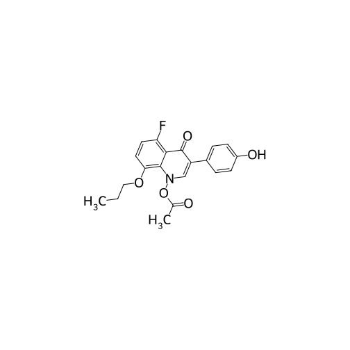 CCCOc1ccc(F)c2c(=O)c(-c3ccc(O)cc3)cn(OC(C)=O)c12